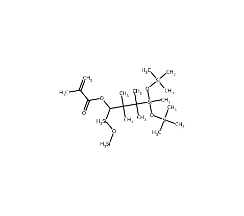 C=C(C)C(=O)OC([SiH2]O[SiH3])C(C)(C)C(C)(C)[Si](C)(O[Si](C)(C)C)O[Si](C)(C)C